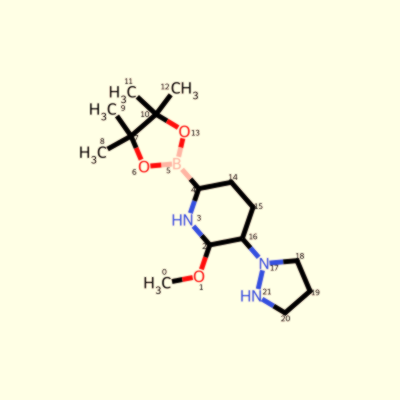 COC1NC(B2OC(C)(C)C(C)(C)O2)CCC1N1CCCN1